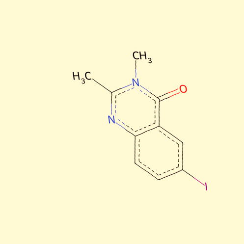 Cc1nc2ccc(I)cc2c(=O)n1C